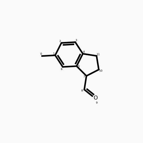 Cc1ccc2c(c1)C(C=O)CC2